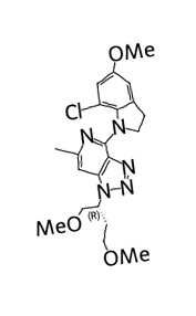 COCC[C@H](COC)n1nnc2c(N3CCc4cc(OC)cc(Cl)c43)nc(C)cc21